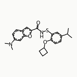 CC(C)c1ccc(OC2CCC2)c(SNC(=O)c2cc3ccc(N(C)C)cc3o2)c1